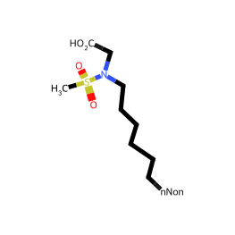 CCCCCCCCCCCCCCCN(CC(=O)O)S(C)(=O)=O